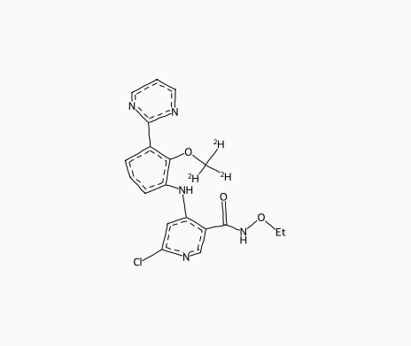 [2H]C([2H])([2H])Oc1c(Nc2cc(Cl)ncc2C(=O)NOCC)cccc1-c1ncccn1